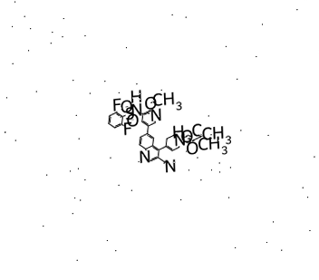 COc1ncc(-c2ccc3ncc(C#N)c(C4=CCN(OC(=O)C(C)(C)C)CC4)c3c2)cc1NS(=O)(=O)c1c(F)cccc1F